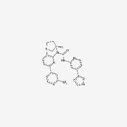 O=C(Nc1cc(-c2cnco2)ccn1)N1c2nc(-c3ccnc(C(F)(F)F)c3)ccc2N2CC[C@H]1C2